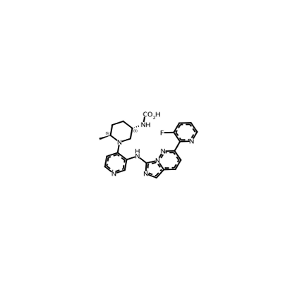 C[C@H]1CC[C@H](NC(=O)O)CN1c1ccncc1Nc1ncc2ccc(-c3ncccc3F)nn12